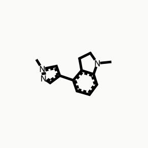 CN1CCc2c(-c3cnn(C)c3)cccc21